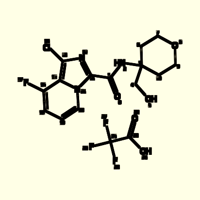 O=C(NC1(CO)CCOCC1)c1nc(Cl)c2c(F)cccn12.O=C(O)C(F)(F)F